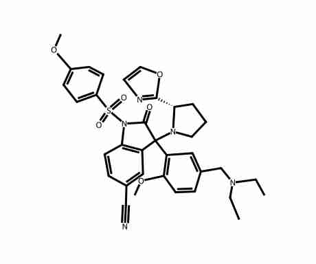 CCN(CC)Cc1ccc(OC)c(C2(N3CCC[C@H]3c3ncco3)C(=O)N(S(=O)(=O)c3ccc(OC)cc3)c3ccc(C#N)cc32)c1